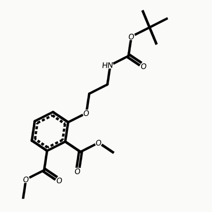 COC(=O)c1cccc(OCCNC(=O)OC(C)(C)C)c1C(=O)OC